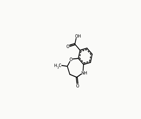 CC1CC(=O)Nc2cccc(C(=O)O)c2O1